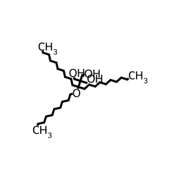 CCCCCCCCCCOC(CCCCCCCCCC)(CCCCCCCCCC)C(CO)(CO)CO